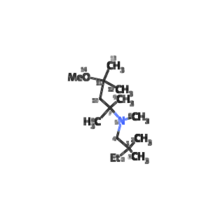 CCC(C)(C)CN(C)C(C)(C)CC(C)(C)OC